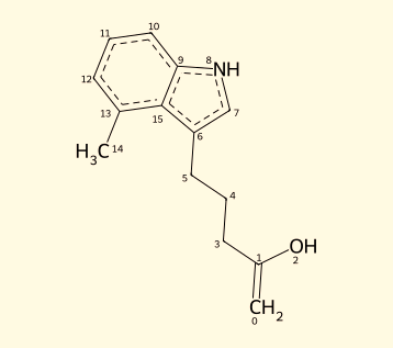 C=C(O)CCCc1c[nH]c2cccc(C)c12